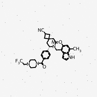 COc1cc(C)c2[nH]ccc2c1CN1CCC2(CC(C#N)C2)C[C@H]1c1ccc(C(=O)N2CCN(CC(F)(F)F)CC2)cc1